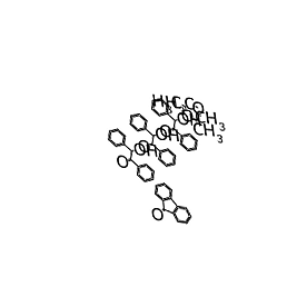 CCOCC.COC.O=C(c1ccccc1)C(O)c1ccccc1.O=C(c1ccccc1)C(O)c1ccccc1.O=C(c1ccccc1)C(O)c1ccccc1.O=C1c2ccccc2-c2ccccc21